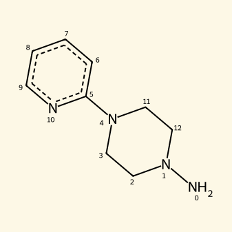 NN1CCN(c2ccccn2)CC1